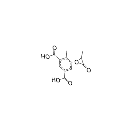 CC1OC1=O.Cc1ccc(C(=O)O)cc1C(=O)O